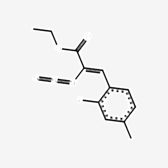 CCOC(=O)/C(=C/c1ccc(C)cc1F)N=[N+]=[N-]